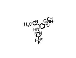 CNS(=O)(=O)c1ccc(Nc2ncc(C(F)(F)F)cn2)c(-c2cn(C)cn2)c1